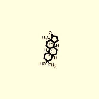 C[C@@]1(O)CC[C@H]2[C@H](CC[C@@H]3[C@@H]2CC[C@]2(C)C(=O)CC[C@@H]32)C1